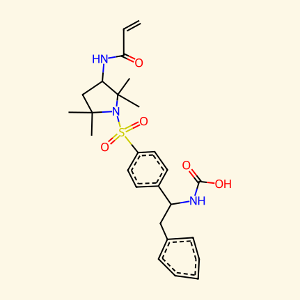 C=CC(=O)NC1CC(C)(C)N(S(=O)(=O)c2ccc(C(Cc3ccccc3)NC(=O)O)cc2)C1(C)C